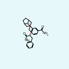 CC(C)(C)C(=O)N(CCCN1C2CCC1CC(c1cccc(C(N)=O)c1)C2)Cc1ccccc1